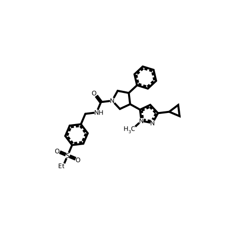 CCS(=O)(=O)c1ccc(CNC(=O)N2CC(c3ccccc3)C(c3cc(C4CC4)nn3C)C2)cc1